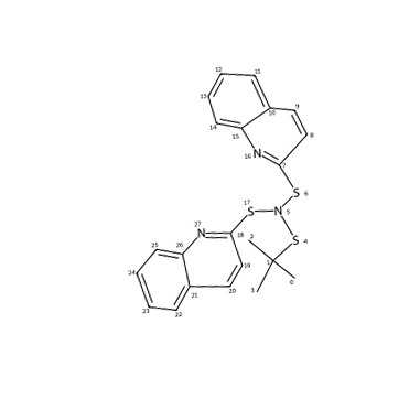 CC(C)(C)SN(Sc1ccc2ccccc2n1)Sc1ccc2ccccc2n1